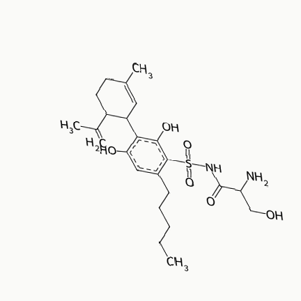 C=C(C)C1CCC(C)=CC1c1c(O)cc(CCCCC)c(S(=O)(=O)NC(=O)C(N)CO)c1O